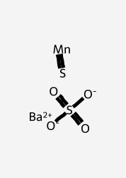 O=S(=O)([O-])[O-].[Ba+2].[S]=[Mn]